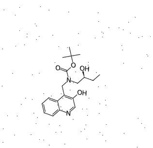 CC[C@H](O)CN(Cc1c(O)cnc2ccccc12)C(=O)OC(C)(C)C